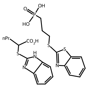 CCCC(Sc1nc2ccccc2[nH]1)C(=O)O.O=P(O)(O)CCCSc1nc2ccccc2s1